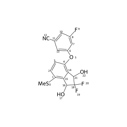 CSc1ccc(Oc2cc(F)cc(C#N)c2)c2c1C(O)C(F)(F)C2O